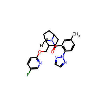 Cc1ccc(-n2nccn2)c(C(=O)N2C3CCC(COc4ccc(F)cn4)[C@@H]2CC3)c1